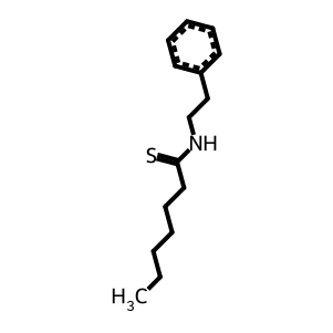 CCCCCCC(=S)NCCc1ccccc1